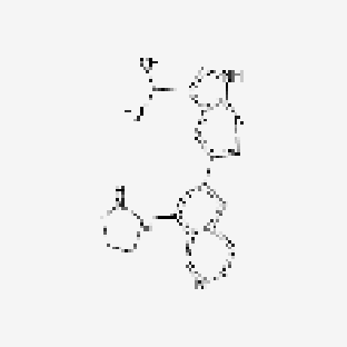 CC(C)c1c[nH]c2ncc(-c3cc([C@H]4CCCN4)c4cnccc4c3)cc12